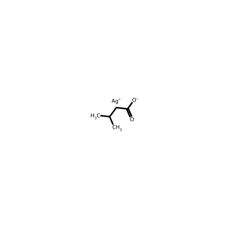 CC(C)CC(=O)[O-].[Ag+]